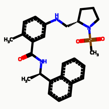 Cc1ccc(NC[C@@H]2CCCN2S(C)(=O)=O)cc1C(=O)N[C@H](C)c1cccc2ccccc12